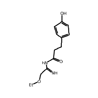 CCOCC(=N)NC(=O)CCc1ccc(O)cc1